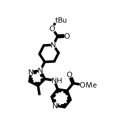 COC(=O)c1ccncc1Nc1c(C)cnn1C1CCN(C(=O)OC(C)(C)C)CC1